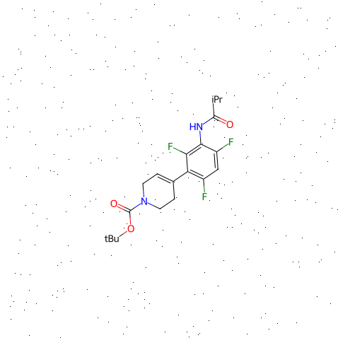 CC(C)C(=O)Nc1c(F)cc(F)c(C2=CCN(C(=O)OC(C)(C)C)CC2)c1F